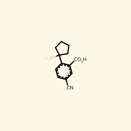 BC1(c2ccc(C#N)cc2C(=O)O)CCCC1